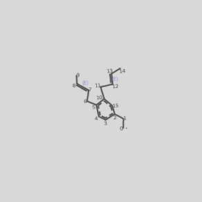 [CH2]Cc1ccc(C/C=C/C)c(C/C=C/C)c1